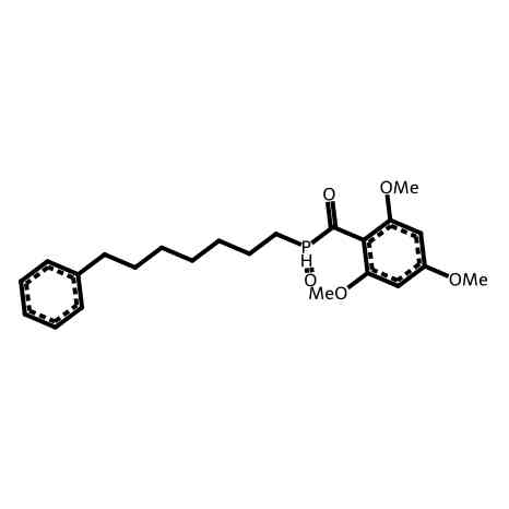 COc1cc(OC)c(C(=O)[PH](=O)CCCCCCCc2ccccc2)c(OC)c1